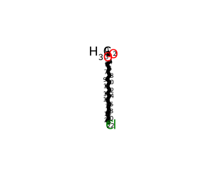 CC(=O)OCCCCCCCCCCCCCC/C=C/CCCl